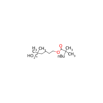 CCCCC(C)(C)C(=O)OCCCCC(C)(C)C(=O)O